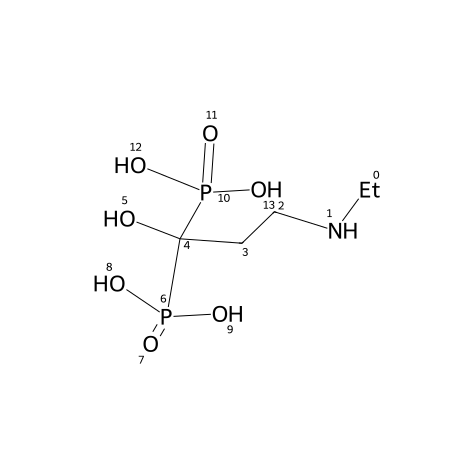 CCNCCC(O)(P(=O)(O)O)P(=O)(O)O